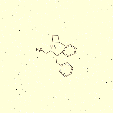 CCC(C)[C](Cc1ccccc1)c1ccccc1C1CCC1